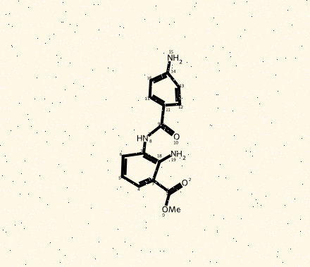 COC(=O)c1cccc(NC(=O)c2ccc(N)cc2)c1N